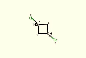 Cl[SiH]1C[SiH](Br)C1